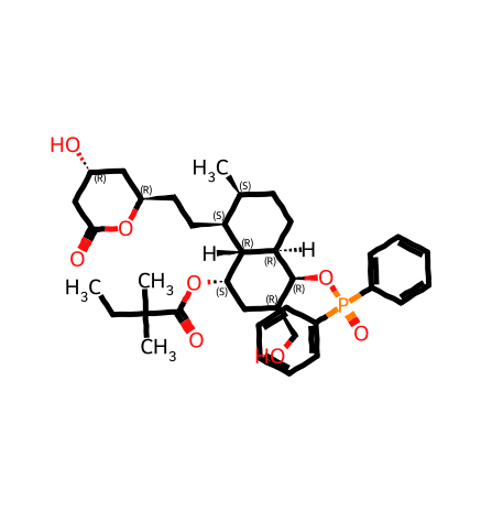 CCC(C)(C)C(=O)O[C@H]1C[C@H](CO)[C@H](OP(=O)(c2ccccc2)c2ccccc2)[C@@H]2CC[C@H](C)[C@H](CC[C@@H]3C[C@@H](O)CC(=O)O3)[C@H]21